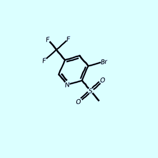 CS(=O)(=O)c1ncc(C(F)(F)F)cc1Br